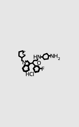 Cl.NC1CCC(NC(=O)CC(c2cccc(F)c2)c2cn(CC3CCCCC3)c3ccccc23)CC1